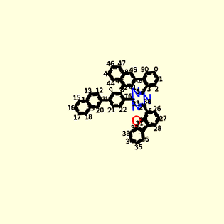 c1ccc(-c2nc(-c3ccc(-c4ccc5ccccc5c4)cc3)nc(-c3cccc4c3oc3ccccc34)n2)c(-c2ccc3ccccc3c2)c1